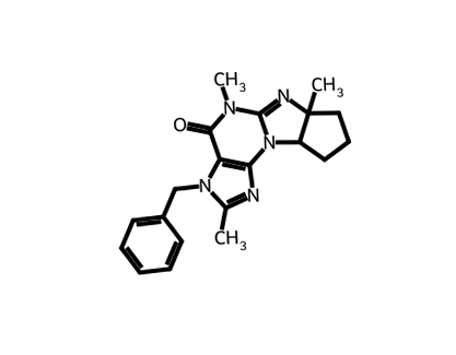 Cc1nc2c(n1Cc1ccccc1)C(=O)N(C)C1=NC3(C)CCCC3N12